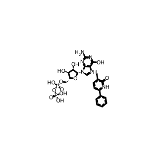 Nc1nc(O)c2c(n1)N([C@@H]1O[C@H](COP(=O)(O)OP(=O)(O)O)[C@@H](O)[C@H]1O)C=[PH]2Cc1ccc(-c2ccccc2)[nH]c1=O